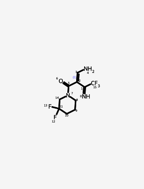 N=C(/C(=C\N)C(=O)N1CCCC(F)(F)C1)C(F)(F)F